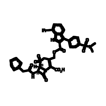 CC(C)c1cccc2c(-c3ccc(S(=O)(=O)N(C)C)cc3)c(C(=O)OCC3=C(C(=O)O)N4C(=O)[C@@H](NC(=O)Cc5ccccc5)[C@H]4S(=O)(=O)C3)[nH]c12